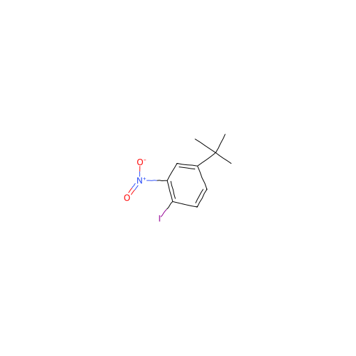 CC(C)(C)c1ccc(I)c([N+](=O)[O-])c1